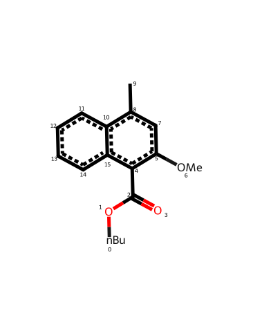 CCCCOC(=O)c1c(OC)cc(C)c2ccccc12